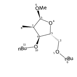 CCCCOC[C@H]1O[C@H](OC)[C@H](C)[C@@H]1OCCCC